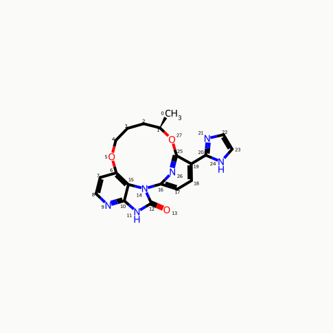 C[C@@H]1CCCOc2ccnc3[nH]c(=O)n(c23)-c2ccc(-c3ncc[nH]3)c(n2)O1